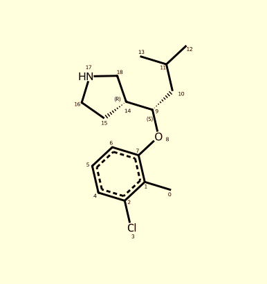 Cc1c(Cl)cccc1O[C@@H](CC(C)C)[C@@H]1CCNC1